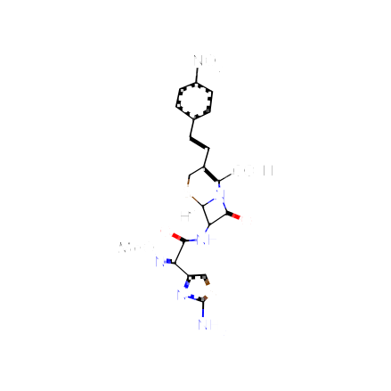 CO/N=C(\C(=O)NC1C(=O)N2C(C(=O)O)=C(/C=C/c3ccc([N+](=O)[O-])cc3)CS[C@H]12)c1csc(N)n1